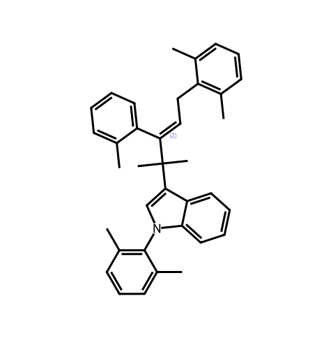 Cc1ccccc1/C(=C\Cc1c(C)cccc1C)C(C)(C)c1cn(-c2c(C)cccc2C)c2ccccc12